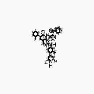 Cc1ccccc1-c1cc2cnc(Nc3ccc(N4C[C@@H](C)N[C@@H](C)C4)c(F)c3)nc2n(Cc2ocnc2[S+]([O-])c2ccncc2)c1=O